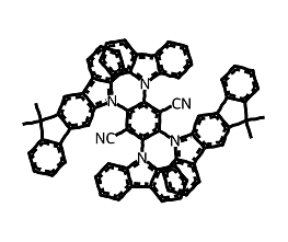 CC1(C)c2ccccc2-c2cc3c(cc21)c1ccccc1n3-c1c(C#N)c(-n2c3ccccc3c3ccccc32)c(-n2c3ccccc3c3cc4c(cc32)-c2ccccc2C4(C)C)c(C#N)c1-n1c2ccccc2c2ccccc21